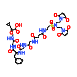 O=C(CCC(=O)NCC(=O)NCC(=O)N[C@@H](Cc1ccccc1)C(=O)NCC(=O)NCO[C@H](C(=O)O)C1CC1)NCCS(=O)(=O)N(CCN1C(=O)C=CC1=O)CCN1C(=O)C=CC1=O